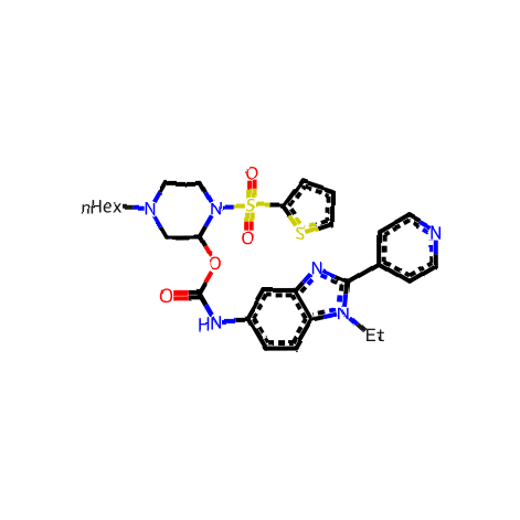 CCCCCCN1CCN(S(=O)(=O)c2cccs2)C(OC(=O)Nc2ccc3c(c2)nc(-c2ccncc2)n3CC)C1